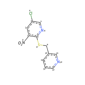 O=[N+]([O-])c1cc(Cl)cnc1SCc1cccnc1